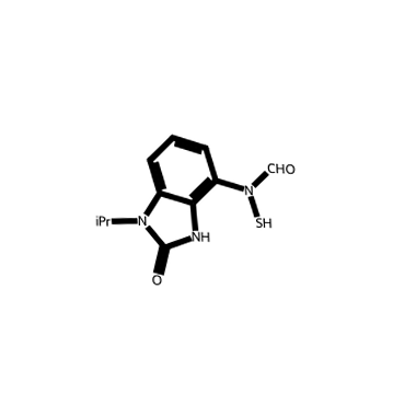 CC(C)n1c(=O)[nH]c2c(N(S)C=O)cccc21